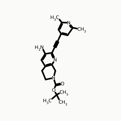 Cc1cc(C#Cc2nc3c(cc2N)CCN(C(=O)OC(C)(C)C)C3)cc(C)n1